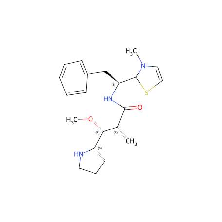 CO[C@@H]([C@@H]1CCCN1)[C@@H](C)C(=O)N[C@@H](Cc1ccccc1)C1SC=CN1C